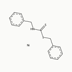 S=C(NCc1ccccc1)SCc1ccccc1.[Ni]